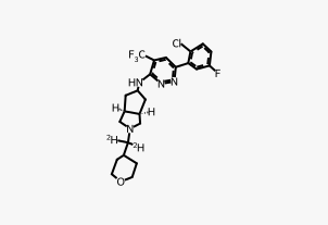 [2H]C([2H])(C1CCOCC1)N1C[C@H]2CC(Nc3nnc(-c4cc(F)ccc4Cl)cc3C(F)(F)F)C[C@H]2C1